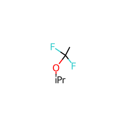 CC(C)OC(C)(F)F